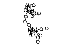 C[C@H](CC(Cc1ccc(-c2cccc(-c3ccc(Cn4nnnc4C(=O)NC(Cc4ccc(-c5ccccc5)cc4)C[C@@H](C)C(=O)OCc4ccccc4)cc3)c2)cc1)NC(=O)c1nnn(Cc2ccccc2)n1)C(=O)OCc1ccccc1